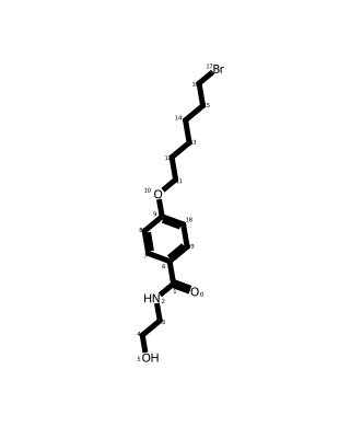 O=C(NCCO)c1ccc(OCCCCCCBr)cc1